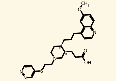 COc1ccc2nccc(CCC[C@@H]3CCN(CCSc4ccnnc4)C[C@@H]3CCC(=O)O)c2c1